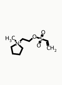 C=CS(=O)(=O)OCC[N+]1(C)CCCC1